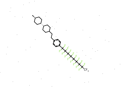 C[C@H]1CC[C@H](C2CCC(CCc3ccc(C(F)(F)C(F)(F)C(F)(F)C(F)(F)C(F)(F)C(F)(F)C(F)(F)C(F)(F)C(F)(F)F)cc3)CC2)CC1